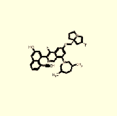 C#Cc1cccc2cc(O)cc(-c3ncc4c(N5CC(C)CCC(C)C5)cc(OC[C@@]56CCCN5C[C@H](F)C6)cc4c3F)c12